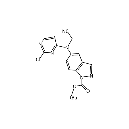 CC(C)(C)OC(=O)n1ncc2cc(N(CC#N)c3ccnc(Cl)n3)ccc21